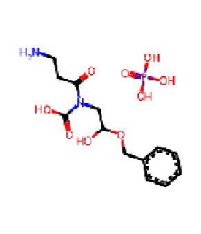 NCCC(=O)N(CC(O)OCc1ccccc1)C(=O)O.O=P(O)(O)O